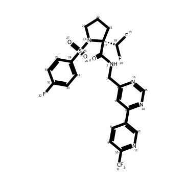 O=C(NCc1cc(-c2ccc(C(F)(F)F)nc2)ncn1)[C@]1(C(F)F)CCCN1S(=O)(=O)c1ccc(F)cc1